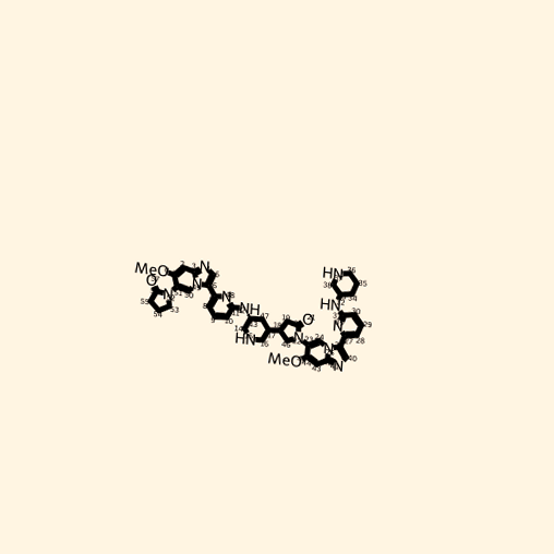 COc1cc2ncc(-c3cccc(N[C@@H]4CNCC(C5CC(=O)N(c6cn7c(-c8cccc(NC9CCCNC9)n8)cnc7cc6OC)C5)C4)n3)n2cc1N1CCCC1=O